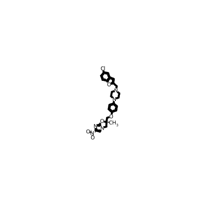 C[C@]1(COc2ccc(N3CCN(Cc4cc5cc(Cl)ccc5o4)CC3)cc2)Cn2cc([N+](=O)[O-])nc2O1